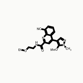 CCOCCNC(=O)c1cc(-c2cnn(C)c2OC)c2cccc(C#N)c2n1